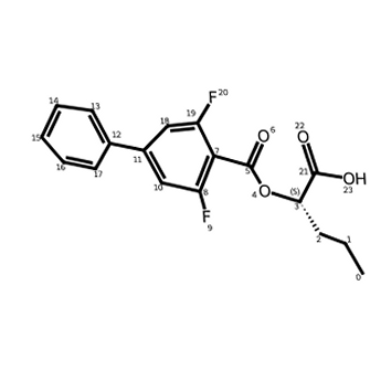 CCC[C@H](OC(=O)c1c(F)cc(-c2ccccc2)cc1F)C(=O)O